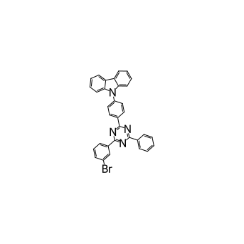 Brc1cccc(-c2nc(-c3ccccc3)nc(-c3ccc(-n4c5ccccc5c5ccccc54)cc3)n2)c1